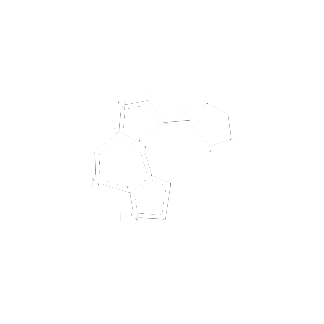 c1cc2c(ncc3ncc(C4CCCC4)n32)[nH]1